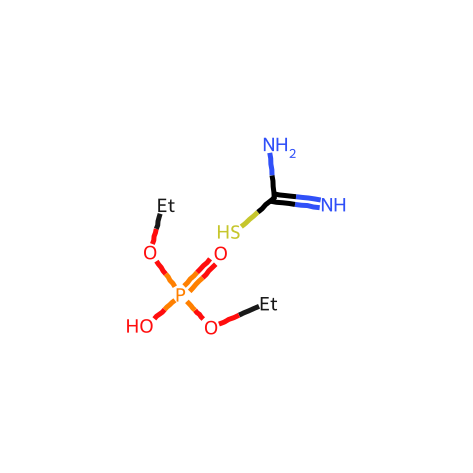 CCOP(=O)(O)OCC.N=C(N)S